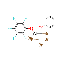 Fc1c(F)c(F)c([O][Al]([Br])[C](Br)(Oc2ccccc2)C(Br)(Br)Br)c(F)c1F